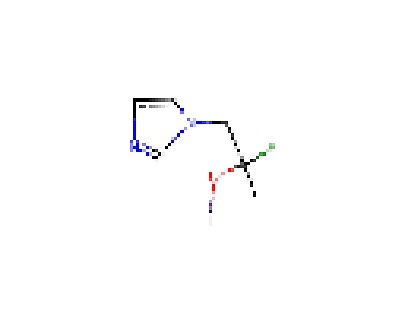 CC(F)(Cn1ccnc1)OI